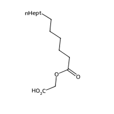 CCCCCCCCCCCCC(=O)OCC(=O)O